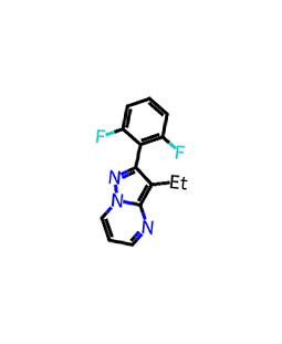 CCc1c(-c2c(F)cccc2F)nn2cccnc12